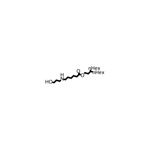 CCCCCCC(CCCCCC)CCOC(=O)CCCCCNCCCO